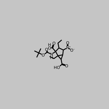 CCC1C([N+](=O)[O-])C2C(C(=O)O)C2(CC)C1(NC(=O)OC(C)(C)C)C(=O)O